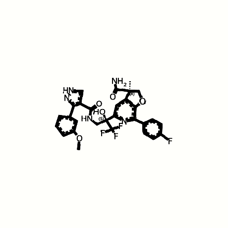 COc1cccc(-c2n[nH]cc2C(=O)NC[C@](O)(c2cc3c(c(-c4ccc(F)cc4)n2)OC[C@]3(C)C(N)=O)C(F)(F)F)c1